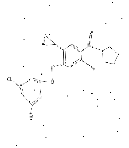 O=C(c1cc(C2CC2)c(COc2cc(Cl)cc(Cl)c2)cc1F)C1CCCC1